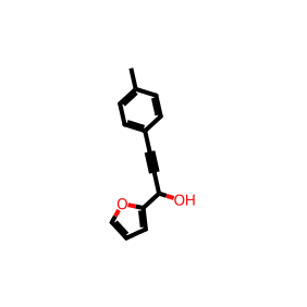 Cc1ccc(C#CC(O)c2ccco2)cc1